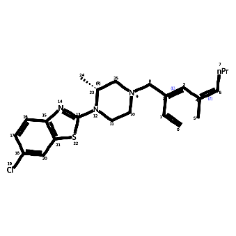 C=C/C(=C\C(C)=C/CCC)CN1CCN(c2nc3ccc(Cl)cc3s2)[C@H](C)C1